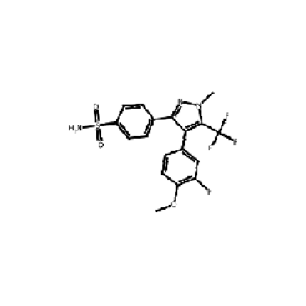 COc1ccc(-c2c(-c3ccc(S(N)(=O)=O)cc3)nn(C)c2C(F)(F)F)cc1F